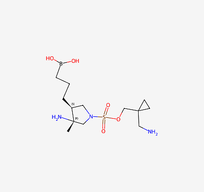 C[C@]1(N)CN(S(=O)(=O)OCC2(CN)CC2)C[C@@H]1CCCB(O)O